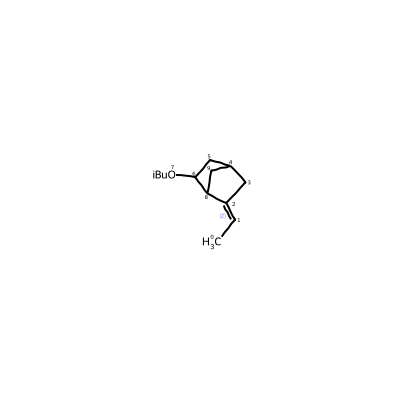 C/C=C1/CC2CC(OCC(C)C)C1C2